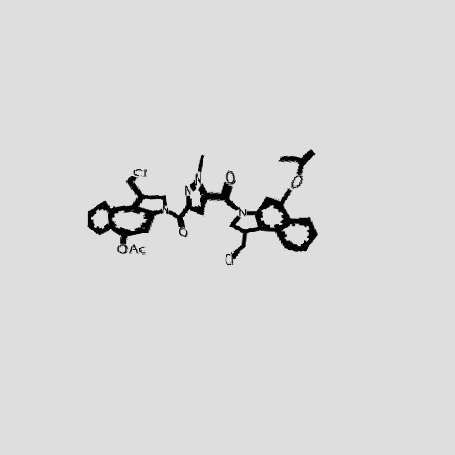 C=C(C)Oc1cc2c(c3ccccc13)C(CCl)CN2C(=O)c1cc(C(=O)N2CC(CCl)c3c2cc(OC(C)=O)c2ccccc32)nn1C